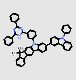 CC1(C)c2ccccc2-c2cc3c4ccc(-c5ccc6c(c5)c5ccccc5n6-c5ccccc5)cc4n(-c4cccc(C5N=C(c6ccccc6)N=C(c6ccccc6)N5)c4)c3cc21